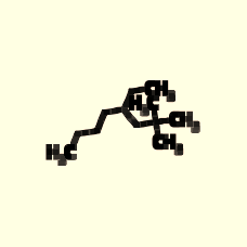 CCCCC(CC)CC(C)(C)C